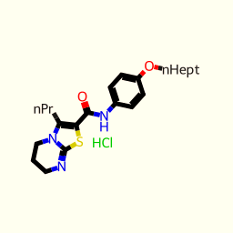 CCCCCCCOc1ccc(NC(=O)C2=C(CCC)N3CCCN=C3S2)cc1.Cl